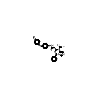 CCC(=O)N(c1cnc[nH]1)[C@H](CC(=O)Nc1ccc(Oc2ccc(F)cc2)cc1)OCc1ccccc1